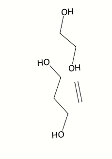 C=C.OCCCO.OCCO